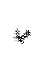 O=C1NC(NC2CC3(CCC3)C2)=N/C1=C\c1ccc2ncsc2c1